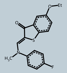 CCOc1ccc2c(c1)C(=O)/C(=C/N(C)c1ccc(F)cc1)S2